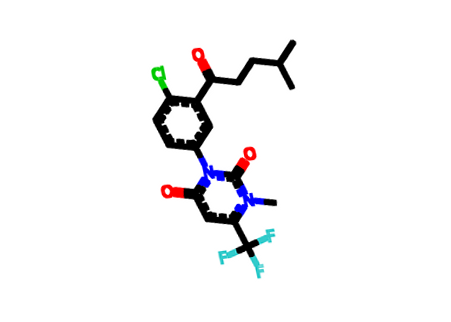 CC(C)CCC(=O)c1cc(-n2c(=O)cc(C(F)(F)F)n(C)c2=O)ccc1Cl